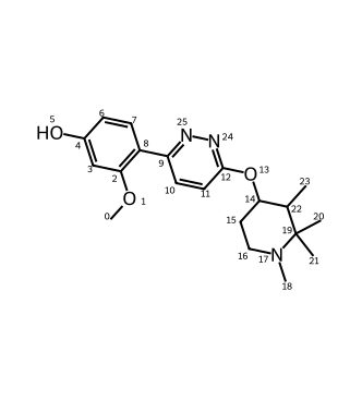 COc1cc(O)ccc1-c1ccc(OC2CCN(C)C(C)(C)C2C)nn1